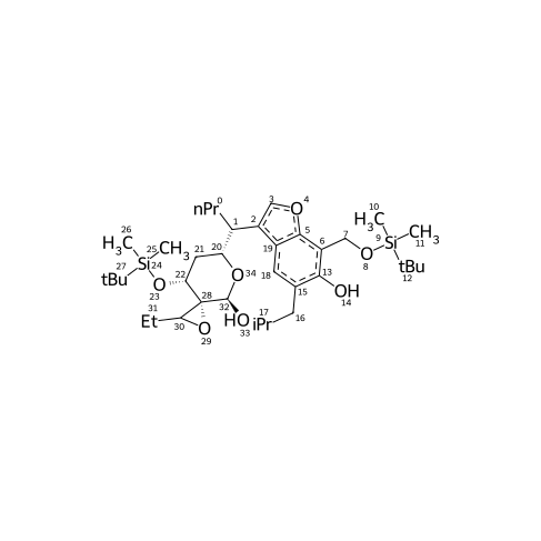 CCCC(c1coc2c(CO[Si](C)(C)C(C)(C)C)c(O)c(CC(C)C)cc12)[C@H]1C[C@@H](O[Si](C)(C)C(C)(C)C)[C@@]2(OC2CC)[C@H](O)O1